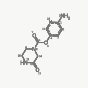 Nc1ccc(OC(=O)N2CCNC(=O)C2)cn1